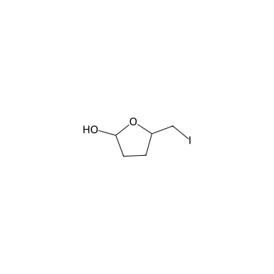 OC1CCC(CI)O1